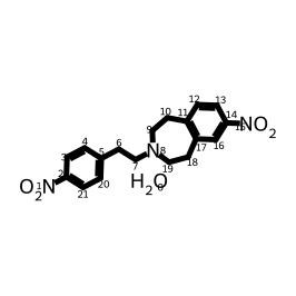 O.O=[N+]([O-])c1ccc(CCN2CCc3ccc([N+](=O)[O-])cc3CC2)cc1